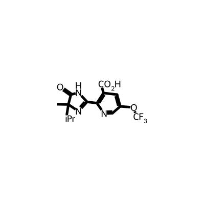 CC(C)C1(C)N=C(c2ncc(OC(F)(F)F)cc2C(=O)O)NC1=O